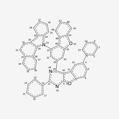 c1ccc(-c2ccc3oc4nc(-c5ccccc5)nc(-c5cc(-n6c7ccccc7c7ccc8ccccc8c76)c6c(c5)oc5ccccc56)c4c3c2)cc1